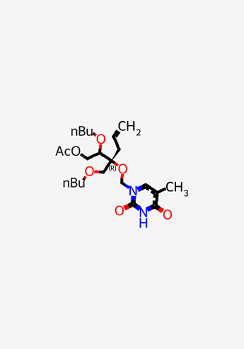 C=CC[C@](COCCCC)(OCn1cc(C)c(=O)[nH]c1=O)C(COC(C)=O)OCCCC